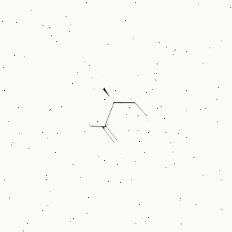 C[C@H](Cl)[C@H](Cl)C(=O)O